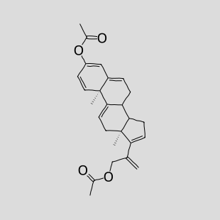 C=C(COC(C)=O)C1=CCC2C3CC=C4C=C(OC(C)=O)C=C[C@]4(C)C3=CC[C@]12C